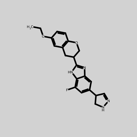 CCOc1ccc2c(c1)CC(c1nc3cc(C4C=NNC4)cc(F)c3[nH]1)CO2